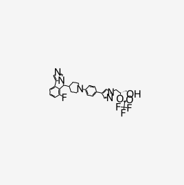 O=C(O[C@@H](CO)Cn1cc(-c2ccc(N3CCC(C4c5c(F)cccc5-c5cncn54)CC3)cc2)cn1)C(F)(F)F